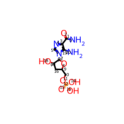 NC(=O)c1ncn([C@@H]2OC(COP(=O)(O)O)C[C@H]2O)c1N